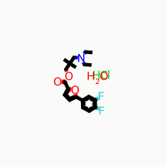 CCN(CC)CC(C)(C)COC(=O)c1ccc(-c2ccc(F)c(F)c2)o1.Cl.O